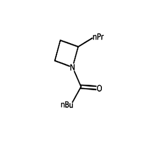 CCCCC(=O)N1CCC1CCC